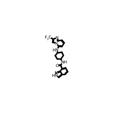 O=C(NC1CCC(Nc2cccc3nc(C(F)(F)F)cn23)CC1)c1cccc2c[nH]nc12